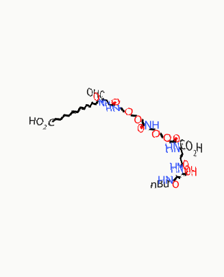 CCCCNC(=O)CC[C@@H](CO)NC(=O)CC[C@H](NC(=O)COCCOCCNC(=O)COCCOCCNC(=O)CC[C@@H](C=O)NC(=O)CCCCCCCCCCCCC(=O)O)C(=O)O